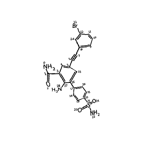 NC(=O)c1cc(C#Cc2cccc(Br)c2)cc(-c2ccc(S(N)(=O)=O)cc2)c1N